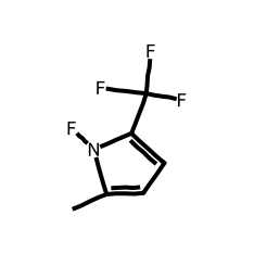 Cc1ccc(C(F)(F)F)n1F